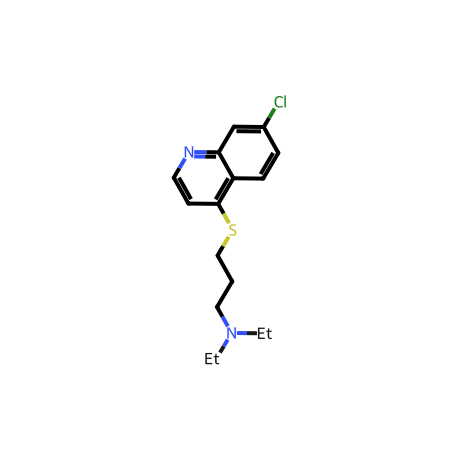 CCN(CC)CCCSc1ccnc2cc(Cl)ccc12